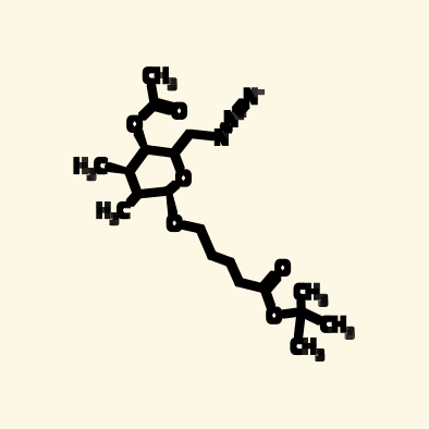 CC(=O)O[C@H]1C(CN=[N+]=[N-])O[C@@H](OCCCCC(=O)OC(C)(C)C)C(C)[C@H]1C